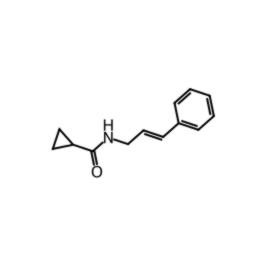 O=C(NC/C=C/c1ccccc1)C1CC1